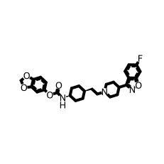 O=C(N[C@H]1CC[C@H](CCN2CCC(c3noc4cc(F)ccc34)CC2)CC1)Oc1ccc2c(c1)OCO2